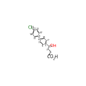 O=C(O)CCC(O)c1ccc(-c2ccc(Cl)cc2)cc1